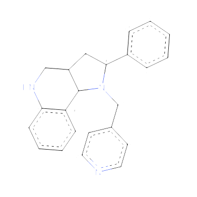 c1ccc(C2CC3CNc4ccccc4C3N2Cc2ccncc2)cc1